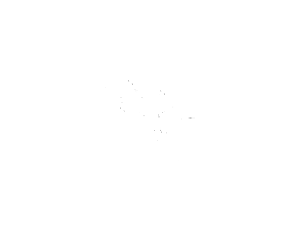 COc1nsc(N2CCC[C@]2(C(=O)O)C(=O)[C@@H](N)CC(C)C)n1